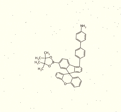 CC1(C)OB(c2ccc3c(c2)C2(c4ccccc4Oc4ccccc42)c2cccc(-c4ccc(-c5ccc(N)cc5)cc4)c2-3)OC1(C)C